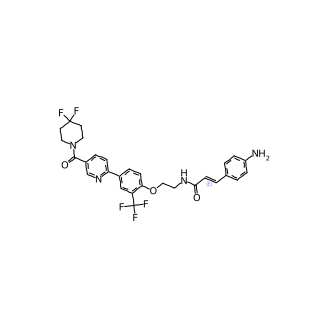 Nc1ccc(/C=C/C(=O)NCCOc2ccc(-c3ccc(C(=O)N4CCC(F)(F)CC4)cn3)cc2C(F)(F)F)cc1